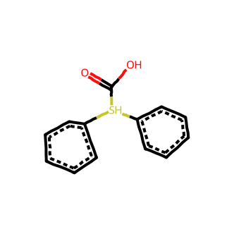 O=C(O)[SH](c1ccccc1)c1ccccc1